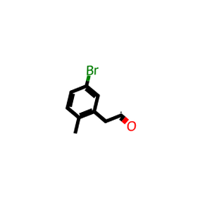 Cc1ccc(Br)cc1C[C]=O